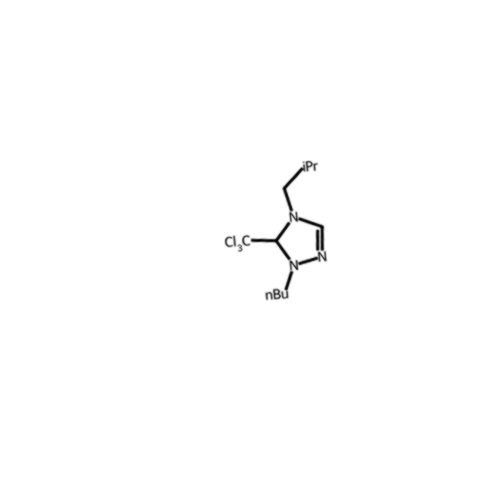 CCCCN1N=CN(CC(C)C)C1C(Cl)(Cl)Cl